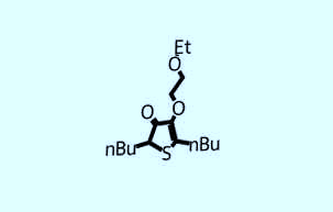 CCCCC1=C(OCCOCC)C(=O)C(CCCC)S1